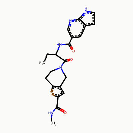 CC[C@@H](NC(=O)c1cnc2[nH]ccc2c1)C(=O)N1CCc2sc(C(=O)NC)cc2C1